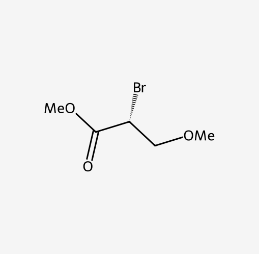 COC[C@@H](Br)C(=O)OC